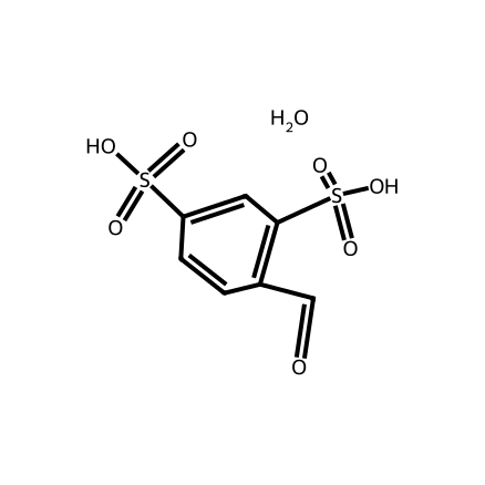 O.O=Cc1ccc(S(=O)(=O)O)cc1S(=O)(=O)O